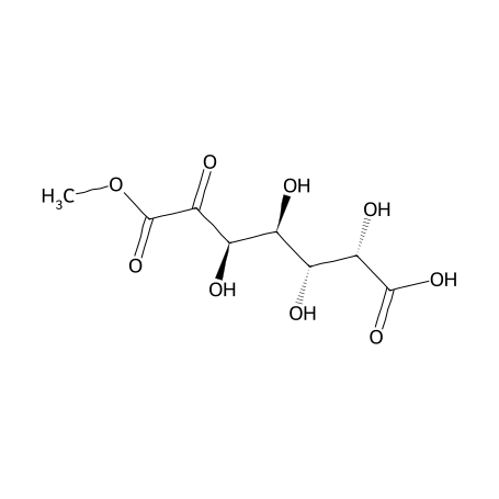 COC(=O)C(=O)[C@H](O)[C@@H](O)[C@@H](O)[C@H](O)C(=O)O